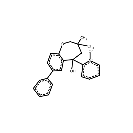 CC1(C)COc2ccc(-c3ccccc3)cc2C(O)(c2cccc[n+]2[O-])C1